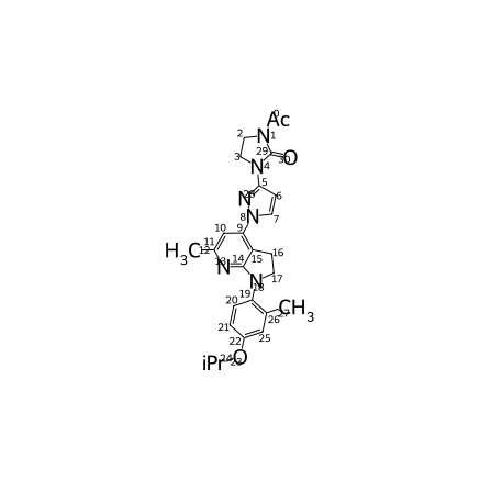 CC(=O)N1CCN(c2ccn(-c3cc(C)nc4c3CCN4c3ccc(OC(C)C)cc3C)n2)C1=O